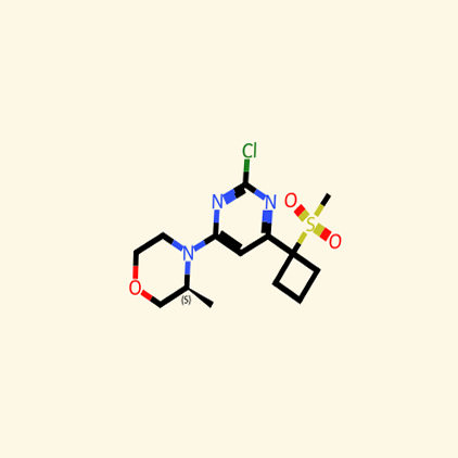 C[C@H]1COCCN1c1cc(C2(S(C)(=O)=O)CCC2)nc(Cl)n1